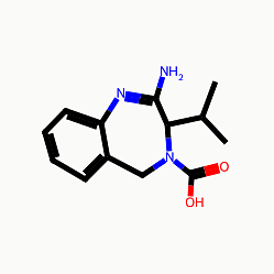 CC(C)C1C(N)=Nc2ccccc2CN1C(=O)O